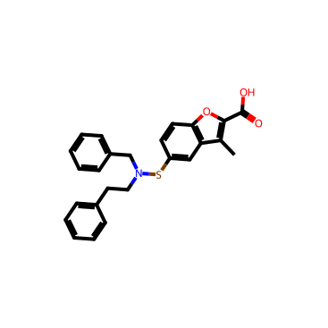 Cc1c(C(=O)O)oc2ccc(SN(CCc3ccccc3)Cc3ccccc3)cc12